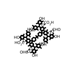 Cc1cc(C(c2cc(C)c(O)cc2C)c2cc(C3(c4cc(C)c(OCC(=O)O)c(C(c5cc(C)c(O)cc5C)c5cc(C)c(O)cc5C)c4)CCC(C(C)(C)C4CCC(c5cc(C)c(OCOC=O)c(C(c6cc(C)c(O)cc6C)c6cc(C)c(O)cc6C)c5)(c5cc(C)c(OC(=O)O)c(C(c6cc(C)c(O)cc6C)c6cc(C)c(O)cc6C)c5)CC4)CC3)cc(C)c2OCOC=O)c(C)cc1O